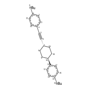 CCCCc1ccc(C#C[C@H]2CC[C@H](c3ccc(CCCC)cc3)CC2)cc1